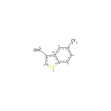 O=Cc1csc2ccc(C(F)(F)F)cc12